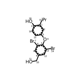 CC(C)c1cc(Oc2c(Br)cc(CO)cc2Br)ccc1O